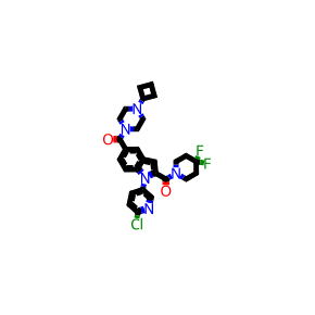 O=C(c1ccc2c(c1)cc(C(=O)N1CCC(F)(F)CC1)n2-c1ccc(Cl)nc1)N1CCN(C2CCC2)CC1